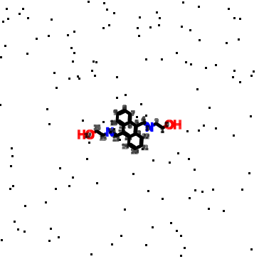 OCC/N=C/c1c2ccccc2c(/C=N/CCO)c2ccccc12